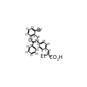 CC/C(=C\c1ccc(N(Cc2ccccc2Br)C(=O)c2ccccc2)cc1)C(=O)O